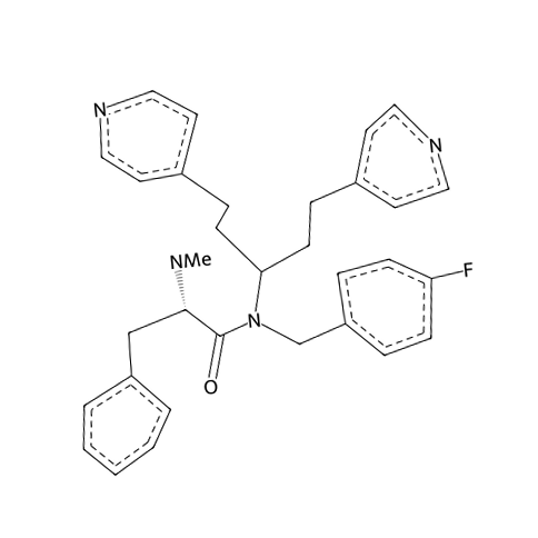 CN[C@@H](Cc1ccccc1)C(=O)N(Cc1ccc(F)cc1)C(CCc1ccncc1)CCc1ccncc1